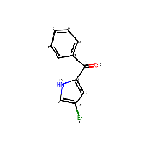 O=C(c1ccccc1)c1cc(Br)c[nH]1